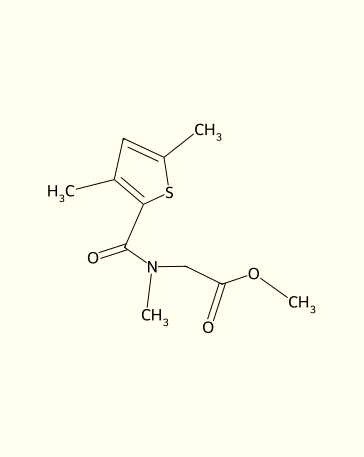 COC(=O)CN(C)C(=O)c1sc(C)cc1C